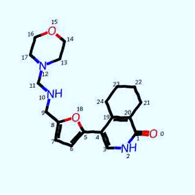 O=c1[nH]cc(-c2ccc(CNCN3CCOCC3)o2)c2c1CCCC2